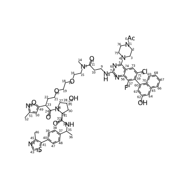 CC(=O)N1CCN(c2nc(NCCC(=O)N(C)CCOCCOCCC(C(=O)N3C[C@H](O)C[C@H]3C(=O)NC(C)c3ccc(-c4scnc4C)cc3)c3cc(C)no3)nc3c(F)c(-c4cc(O)cc5ccccc45)c(Cl)cc23)CC1